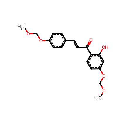 COCOc1ccc(/C=C/C(=O)c2ccc(OCOC)cc2O)cc1